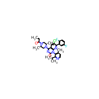 C=CC(=O)N1C[C@H](C)N(c2nc(=O)n(-c3c(C)ccnc3C(C)C)c3nc(-c4cc(F)ccc4F)c(Cl)cc23)C[C@H]1C